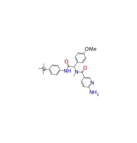 COc1ccc(C(C(=O)Nc2ccc([Si](C)(C)C)cc2)N(C)C(=O)c2ccc(N)nc2)cc1